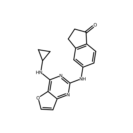 O=C1CCc2cc(Nc3nc(NC4CC4)c4occc4n3)ccc21